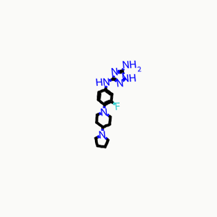 Nc1nc(Nc2ccc(N3CCC(N4CCCC4)CC3)c(F)c2)n[nH]1